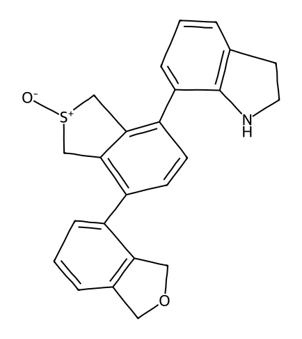 [O-][S+]1Cc2c(-c3cccc4c3COC4)ccc(-c3cccc4c3NCC4)c2C1